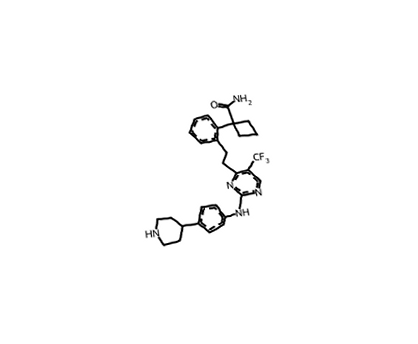 NC(=O)C1(c2ccccc2CCc2nc(Nc3ccc(C4CCNCC4)cc3)ncc2C(F)(F)F)CCC1